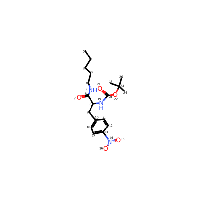 CCCCCNC(=O)C(Cc1ccc([N+](=O)[O-])cc1)NC(=O)OC(C)(C)C